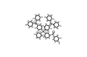 Cc1ccc(C(=O)c2ccc3c(c2)C(c2ccc(N(c4ccccc4)c4ccccc4)cc2)(c2ccc(N(c4ccccc4)c4ccccc4)cc2)c2ccccc2-3)cc1